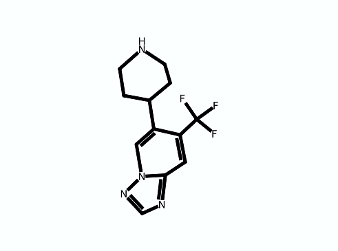 FC(F)(F)c1cc2ncnn2cc1C1CCNCC1